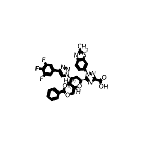 Cc1nc2ccc(-n3nc(C(=O)O)nc3[C@H]3C[C@@H](n4cc(-c5cc(F)c(F)c(F)c5)nn4)[C@H]4OC(c5ccccc5)OC[C@H]4O3)cc2s1